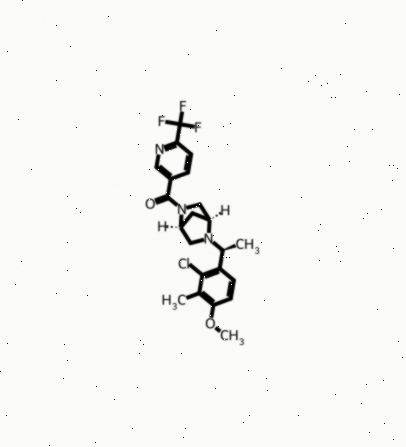 COc1ccc([C@H](C)N2C[C@@H]3C[C@H]2CN3C(=O)c2ccc(C(F)(F)F)nc2)c(Cl)c1C